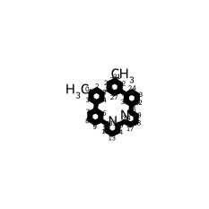 Cc1cccc(-c2cccc(-c3cccc(-c4cccc(-c5cccc(-c6cccc(C)c6)c5)n4)n3)c2)c1